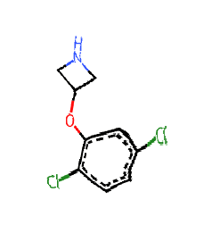 Clc1ccc(Cl)c(OC2CNC2)c1